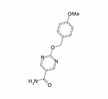 COc1ccc(COc2ncc(C(N)=O)cn2)cc1